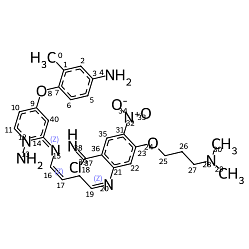 Cc1cc(N)ccc1Oc1ccn(N)/c(=N\C=C/C/C=N\c2cc(OCCCN(C)C)c([N+](=O)[O-])cc2C(=N)Cl)c1